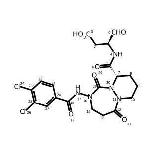 O=C[C@H](CC(=O)O)NC(=O)[C@@H]1CCCN2C(=O)CCN(NC(=O)c3ccc(Cl)c(Cl)c3)C(=O)N12